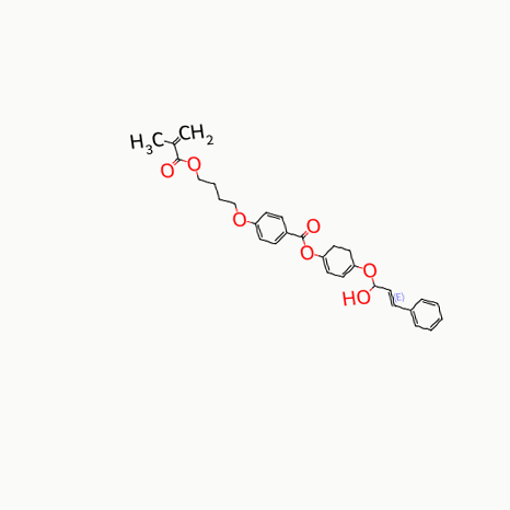 C=C(C)C(=O)OCCCCOc1ccc(C(=O)OC2=CC=C(OC(O)/C=C/c3ccccc3)CC2)cc1